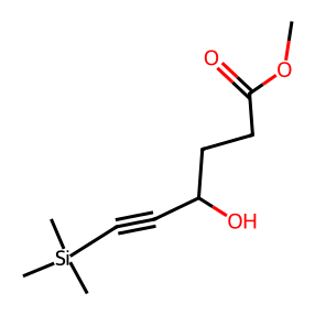 COC(=O)CCC(O)C#C[Si](C)(C)C